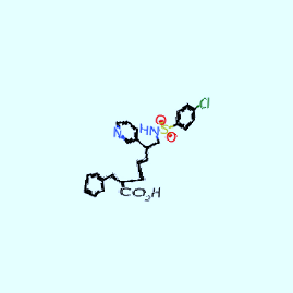 O=C(O)C(CCCC(CNS(=O)(=O)c1ccc(Cl)cc1)c1cccnc1)Cc1ccccc1